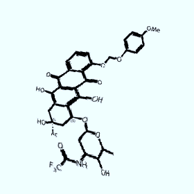 COc1ccc(OCOc2cccc3c2C(=O)c2c(O)c4c(c(O)c2C3=O)C[C@@](O)(C(C)=O)C[C@@H]4OC2CC(NC(=O)C(F)(F)F)C(O)C(C)O2)cc1